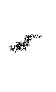 COc1ccc2c(Oc3ccc(NC(=O)c4c(C)n(C)n(P)c4=O)cc3F)ccnc2c1